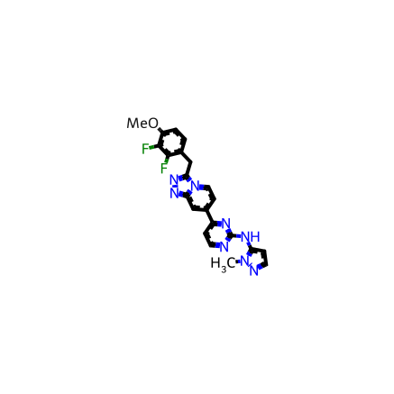 COc1ccc(Cc2nnc3cc(-c4ccnc(Nc5ccnn5C)n4)ccn23)c(F)c1F